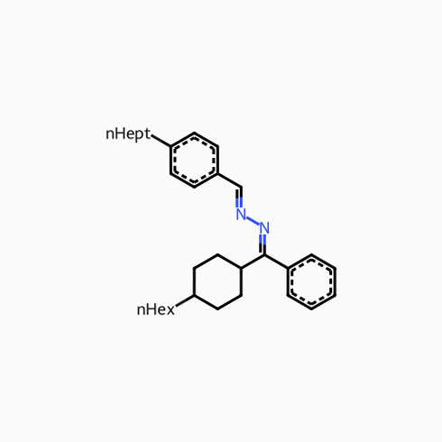 CCCCCCCc1ccc(C=NN=C(c2ccccc2)C2CCC(CCCCCC)CC2)cc1